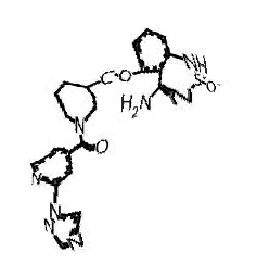 NC1=N[S+]([O-])Nc2cccc(OCC3CCCN(C(=O)c4ccnc(-n5cncn5)c4)C3)c21